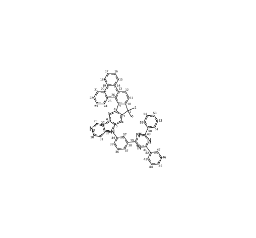 CC1(C)c2cc3c(cc2-c2c1ccc1c4ccccc4c4ccccc4c21)c1cnccc1n3-c1cccc(-c2nc(-c3ccccc3)nc(-c3ccccc3)n2)c1